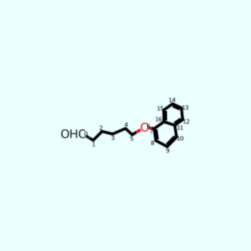 O=CCCCCCOc1cccc2ccccc12